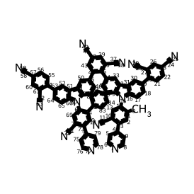 Cc1cc(-c2ccncc2)c(C#N)cc1-n1c2ccc(-c3ccc(C#N)cc3C#N)cc2c2cc(-c3c(C#N)cc(C#N)cc3-c3ccc4c(c3)c3cc(-c5ccc(C#N)cc5C#N)ccc3n4-c3cc(C#N)c(-c4ccncc4)cc3-c3ccccc3)ccc21